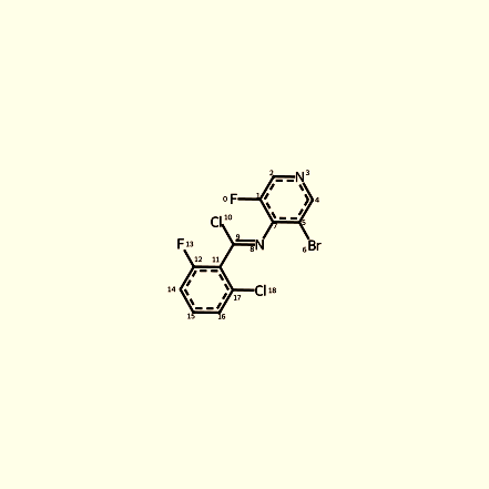 Fc1cncc(Br)c1/N=C(\Cl)c1c(F)cccc1Cl